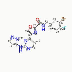 Cc1cnc(Nc2ccnn2C)nc1-c1coc(C(=O)NCc2ccc(F)c(Br)c2)n1